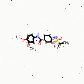 COc1ccc(NC(=O)[C@H]2CC[C@H](NS(=O)(=O)C(C)C)CC2)cc1OC